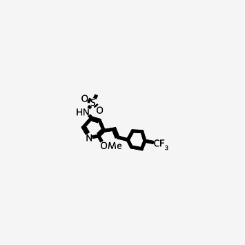 COc1ncc(NS(C)(=O)=O)cc1/C=C/C1CCC(C(F)(F)F)CC1